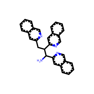 NC(c1cc2ccccc2cn1)C(Cc1cc2ccccc2cn1)c1cc2ccccc2cn1